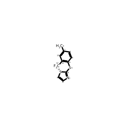 Cc1ccc(Sc2nccs2)c(C(F)(F)F)c1